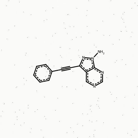 Nn1nc(C#Cc2ccccc2)c2cncnc21